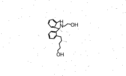 Cc1ccccc1[C@@](C)(NCCO)c1ccccc1C[C@H](C)CCCO